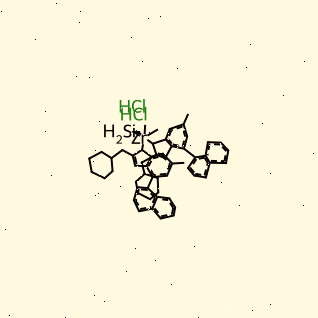 Cc1cc(-c2cccc3ccccc23)c2c(c1)[CH]([Zr]([CH3])([CH3])(=[SiH2])[CH]1C(CC3CCCCC3)=Cc3c(-c4cccc5ccccc45)cc(C)cc31)C(CC1CCCCC1)=C2.Cl.Cl